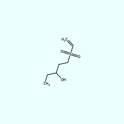 C=CS(=O)(=O)CCC(O)CC